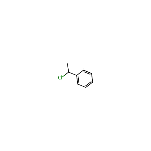 CC(Cl)c1[c]cccc1